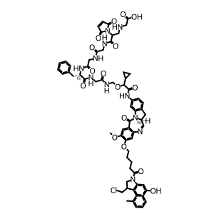 COc1cc2c(cc1OCCCCC(=O)N1CC(CCl)c3c1cc(O)c1cccc(C)c31)N=C[C@@H]1Cc3ccc(NC(=O)C(OCNC(=O)CNC(=O)[C@H](Cc4ccccc4)NC(=O)CNC(=O)CNC(=O)C(CNCC(=O)O)N4C(=O)C=CC4=O)C4CC4)cc3N1C2=O